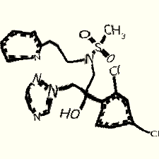 CS(=O)(=O)N(CCc1ccccn1)CC(O)(Cn1cncn1)c1ccc(Cl)cc1Cl